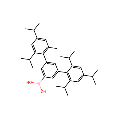 Cc1cc(C(C)C)cc(C(C)C)c1-c1cc(B(O)O)cc(-c2c(C(C)C)cc(C(C)C)cc2C(C)C)c1